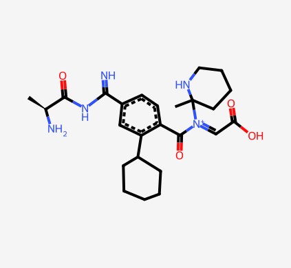 C[C@H](N)C(=O)NC(=N)c1ccc(C(=O)[N+](=CC(=O)O)C2(C)CCCCN2)c(C2CCCCC2)c1